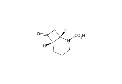 O=C1C[C@H]2[C@@H]1CCCN2C(=O)O